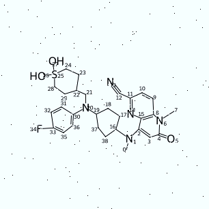 CN(c1cc(=O)n(C)c2ccc(C#N)nc12)C1CCC(N(CC2CCS(O)(O)CC2)c2ccc(F)cc2)CC1